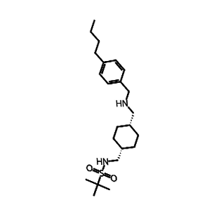 CCCCc1ccc(CNC[C@H]2CC[C@@H](CNS(=O)(=O)C(C)(C)C)CC2)cc1